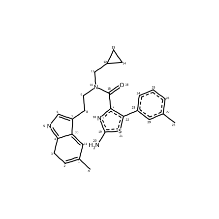 CC1=CCC2=NC=C(CCN(CC3CC3)C(=O)c3nc(N)sc3-c3cccc(C)c3)C2=C1